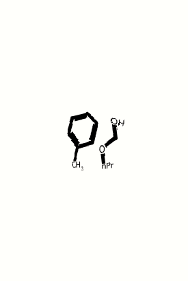 CCCOCO.Cc1ccccc1